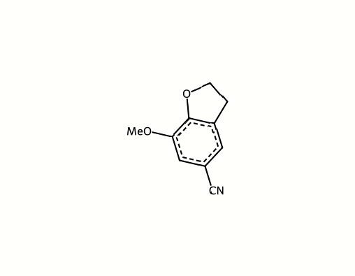 COc1cc(C#N)cc2c1OCC2